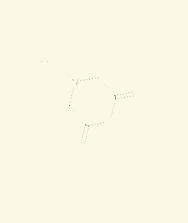 O=C1CN(C(=O)O)CC(=O)O1